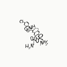 NCC(=O)Oc1cc2c(cc1OC(=O)CN)CCC(C(=O)Nc1ccc(Cl)cc1Cl)=C2